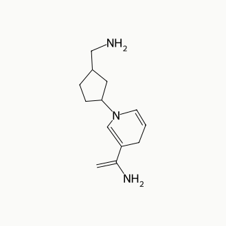 C=C(N)C1=CN(C2CCC(CN)C2)C=CC1